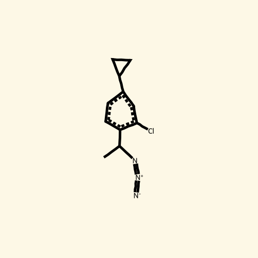 CC(N=[N+]=[N-])c1ccc(C2CC2)cc1Cl